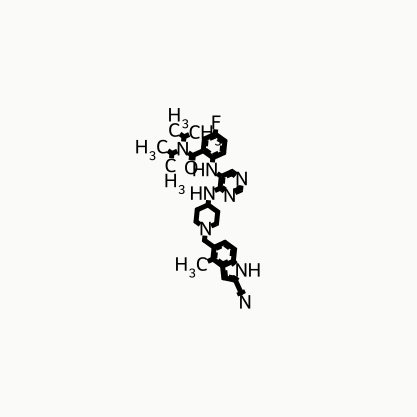 Cc1c(CN2CCC(Nc3ncncc3Nc3ccc(F)cc3C(=O)N(C(C)C)C(C)C)CC2)ccc2[nH]c(C#N)cc12